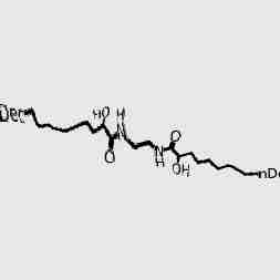 CCCCCCCCCCCCCCCCC(O)C(=O)NCCNC(=O)C(O)CCCCCCCCCCCCCCCC